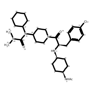 CC(=O)N[C@H]1CC[C@@H](N[C@H](Cc2ccc(Cl)cc2)C(=O)N2CCC(N(C(=O)N(C)C)C3CCCCC3)CC2)CC1